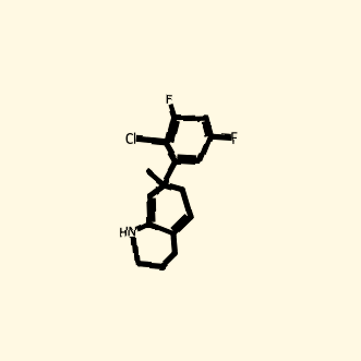 CC1(c2cc(F)cc(F)c2Cl)C=C2NCCCC2=CC1